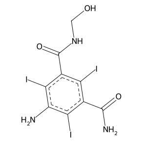 NC(=O)c1c(I)c(N)c(I)c(C(=O)NCO)c1I